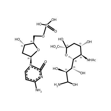 CC(=O)N[C@H]1[C@H]([C@H](O)[C@H](O)C(N)O)O[C@](O)(C(=O)O)C[C@@H]1O.Nc1ccn([C@H]2C[C@H](O)[C@@H](COP(=O)(O)O)O2)c(=O)n1